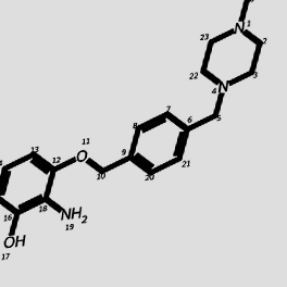 CN1CCN(Cc2ccc(COc3cccc(O)c3N)cc2)CC1